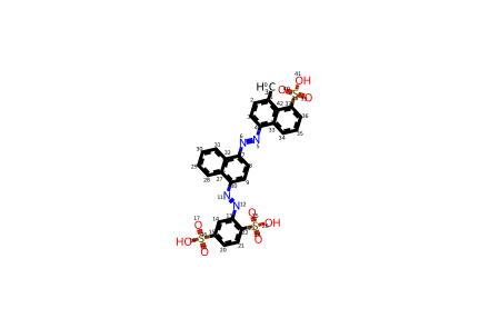 Cc1ccc(N=Nc2ccc(N=Nc3cc(S(=O)(=O)O)ccc3S(=O)(=O)O)c3ccccc23)c2cccc(S(=O)(=O)O)c12